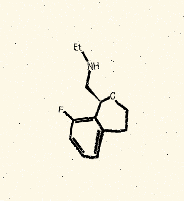 CCNC[C@H]1OCCc2cccc(F)c21